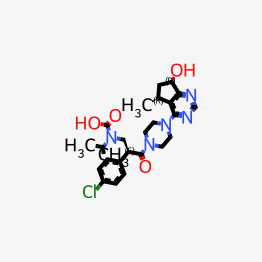 CC(C)N(C[C@@H](C(=O)N1CCN(c2ncnc3c2[C@H](C)C[C@H]3O)CC1)c1ccc(Cl)cc1)C(=O)O